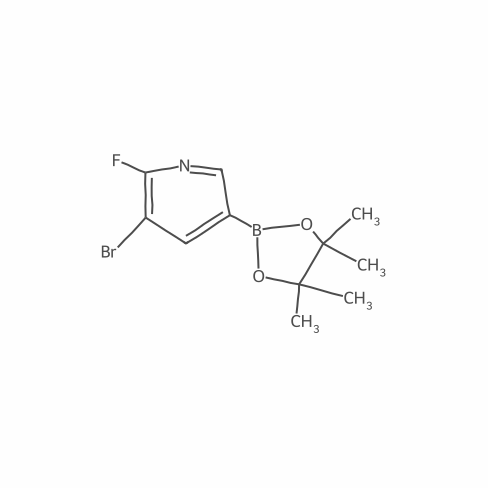 CC1(C)OB(c2cnc(F)c(Br)c2)OC1(C)C